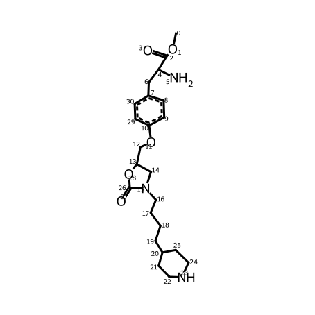 COC(=O)C(N)Cc1ccc(OCC2CN(CCCCC3CCNCC3)C(=O)O2)cc1